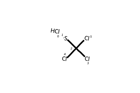 Cl.[S]C(Cl)(Cl)Cl